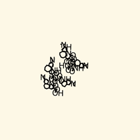 CN(C)c1ccc2c(c1)CCCCc1c-2[nH]c(=O)c(C(=O)Oc2c3c([nH]c(=O)c2C(=O)O)-c2ccc(N(C)C)cc2CCC3)c1O.CN(C)c1ccc2c(c1)CCCCc1cc(C(=O)OC(=O)c3cc4c([nH]c3=O)-c3ccc(N(C)C)cc3CC4)c(=O)[nH]c1-2.CN(C)c1ccc2c(c1)CCCc1cc(C(=O)O)c(=O)[nH]c1-2